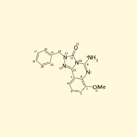 COc1cccc2c1nc(N)n1c(=O)n(Cc3ccccc3)nc21